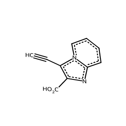 C#Cc1c(C(=O)O)nc2ccccn12